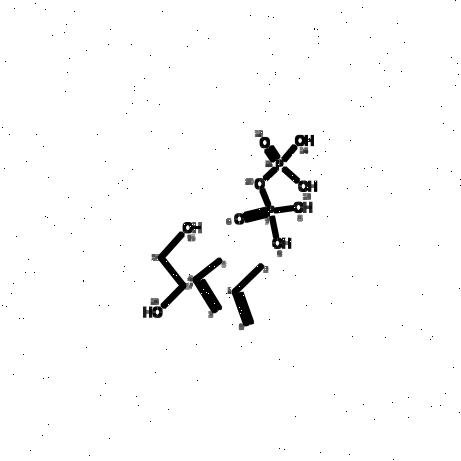 C=CC.C=CC.O=P(O)(O)OP(=O)(O)O.OCCO